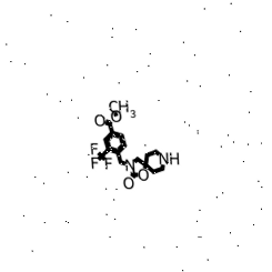 COC(=O)c1ccc(CN2CC3(CCNCC3)OC2=O)c(C(F)(F)F)c1